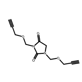 C#CCOCN1CC(=O)N(COCC#C)C1=O